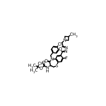 CC1CN(Cc2nnc(-c3cc4c(cc3F)SC[C@H](NC(=O)OC(C)(C)C)C(=O)N4Cc3ccc(Cl)cc3)o2)C1